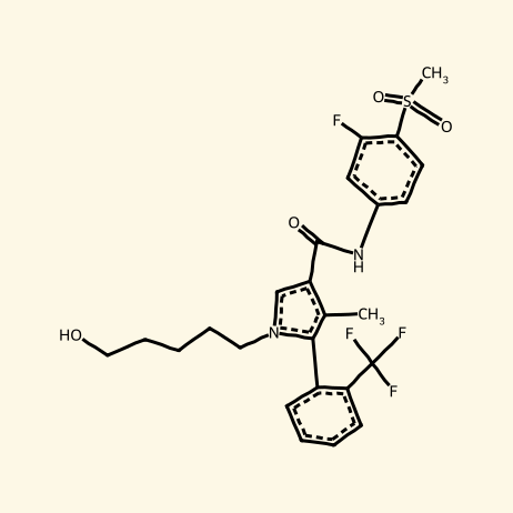 Cc1c(C(=O)Nc2ccc(S(C)(=O)=O)c(F)c2)cn(CCCCCO)c1-c1ccccc1C(F)(F)F